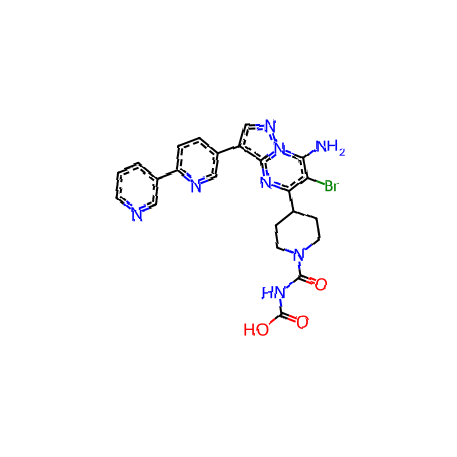 Nc1c(Br)c(C2CCN(C(=O)NC(=O)O)CC2)nc2c(-c3ccc(-c4cccnc4)nc3)cnn12